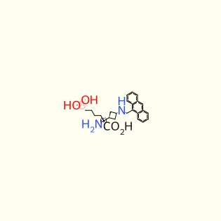 N[C@](CCCCB(O)O)(C(=O)O)[C@H]1C[C@H](NCc2c3ccccc3cc3ccccc23)C1